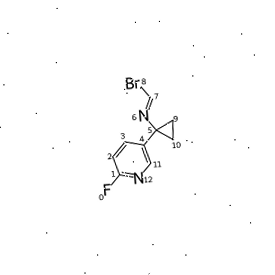 Fc1ccc(C2(/N=C/Br)CC2)cn1